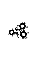 C[C@@H](C1=CCCC1)P(=O)(c1ccccc1)c1ccccc1